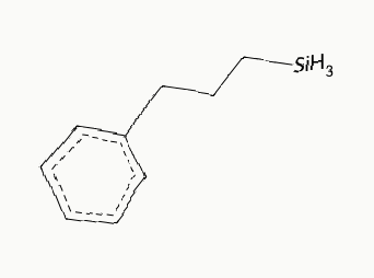 [SiH3]CCCc1ccccc1